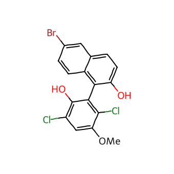 COc1cc(Cl)c(O)c(-c2c(O)ccc3cc(Br)ccc23)c1Cl